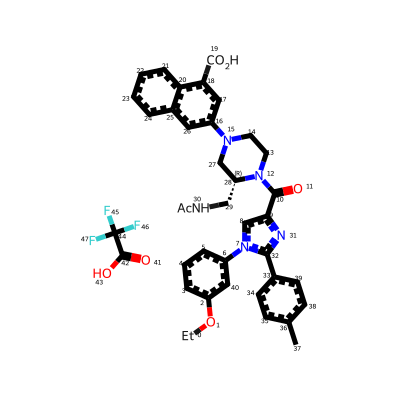 CCOc1cccc(-n2cc(C(=O)N3CCN(c4cc(C(=O)O)c5ccccc5c4)C[C@H]3CNC(C)=O)nc2-c2ccc(C)cc2)c1.O=C(O)C(F)(F)F